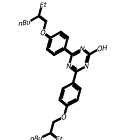 CCCCC(CC)COc1ccc(-c2nc(O)nc(-c3ccc(OCC(CC)CCCC)cc3)n2)cc1